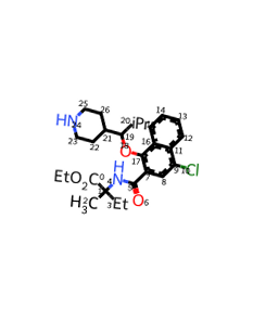 CCOC(=O)C(C)(CC)NC(=O)c1cc(Cl)c2ccccc2c1OC(C(C)C)C1CCNCC1